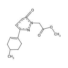 COC(=O)Cn1nc(C2=CCC(C)CC2)ccc1=O